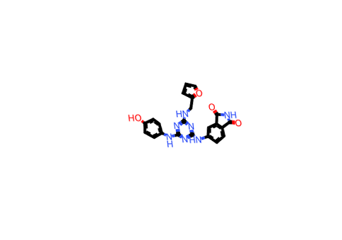 O=C1NC(=O)c2cc(Nc3nc(NCc4ccco4)nc(Nc4ccc(O)cc4)n3)ccc21